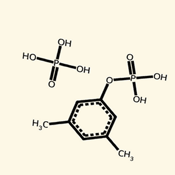 Cc1cc(C)cc(OP(=O)(O)O)c1.O=P(O)(O)O